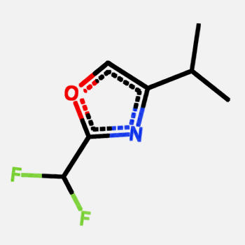 CC(C)c1coc(C(F)F)n1